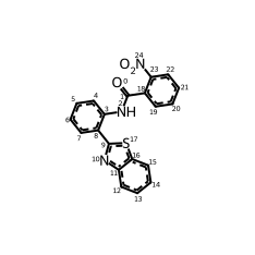 O=C(Nc1ccccc1-c1nc2ccccc2s1)c1ccccc1[N+](=O)[O-]